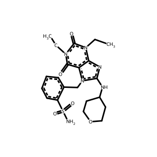 CCn1c(=O)c2c(nc(NC3CCOCC3)n2Cc2ccccc2S(N)(=O)=O)n(CC)c1=O